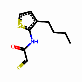 CCCCc1ccsc1NC(=O)C=S